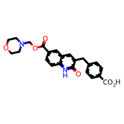 O=C(O)c1ccc(Cc2cc3cc(C(=O)OCN4CCOCC4)ccc3[nH]c2=O)cc1